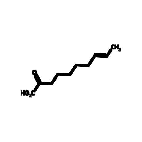 C/C=C/CCCCCC(=O)C(=O)O